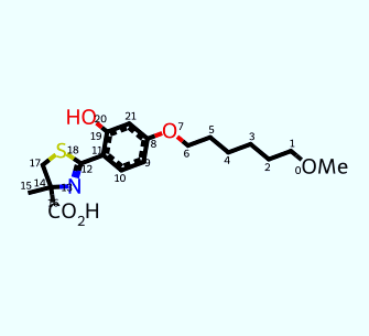 COCCCCCCOc1ccc(C2=NC(C)(C(=O)O)CS2)c(O)c1